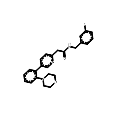 O=C(Cc1ccc(-c2ccccc2N2CCOCC2)cn1)NCc1cccc(F)c1